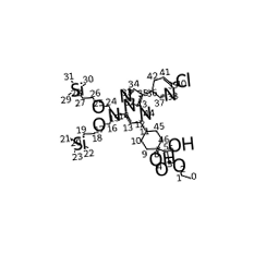 CCOC(=O)C(O)C1(O)CCC(c2cc(N(COCC[Si](C)(C)C)COCC[Si](C)(C)C)n3ncc(C4C=NC(Cl)=CC4)c3n2)CC1